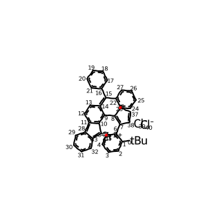 CC(C)(C)c1ccccc1C1=C(c2c3c(ccc2=C(c2ccccc2)c2ccccc2)=c2ccccc2=[C]3[Zr+2])CC=C1.[Cl-].[Cl-]